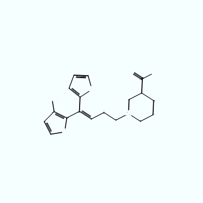 Cc1ccsc1/C(=C/CCN1CCCC(C(=O)O)C1)c1cccs1